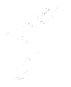 CNc1ccc(N2CCCC(COc3cc(OC)cc4oc(-c5cn6nc(OC)sc6n5)cc34)C2)cc1